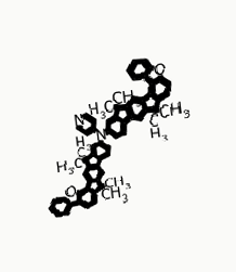 CC1(C)c2cc(N(c3ccncc3)c3ccc4c(c3)C(C)(C)c3cc5c(cc3-4)C(C)(C)c3ccc4oc6ccccc6c4c3-5)ccc2-c2cc3c(cc21)-c1c(ccc2c1oc1ccccc12)C3(C)C